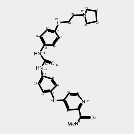 CNC(=O)c1cc(Oc2ccc(NC(=O)Nc3ccc(OCCN4CCCC4)cc3)cc2)ccn1